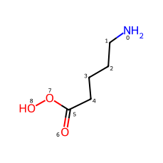 NCCCCC(=O)OO